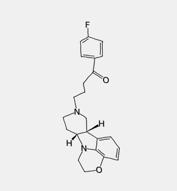 O=C(CCCN1CC[C@@H]2[C@H](C1)c1cccc3c1N2CCO3)c1ccc(F)cc1